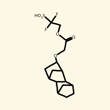 O=C(COC1CC2CC1C1C3CCC(C3)C21)OCC(F)(F)S(=O)(=O)O